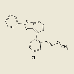 COC=Cc1cc(Cl)ccc1-c1cccc2sc(-c3ccccc3)nc12